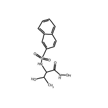 CC(O)C(NS(=O)(=O)c1ccc2ccccc2c1)C(=O)NO